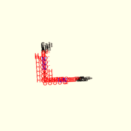 O.O.O.O.O.O=C(O)O.O=C(O)O.O=C(O)O.O=C(O)O.O=C(O)O.O=[N+]([O-])O.O=[N+]([O-])O.O=[N+]([O-])O.O=[N+]([O-])O.O=[N+]([O-])O.[Al+3].[Al+3].[Al+3].[Al+3].[Al+3].[Al+3].[Ca+2].[Ca+2].[Ca+2].[Ca+2].[Ca+2].[Ca+2].[O-2].[O-2].[O-2].[O-2].[O-2]